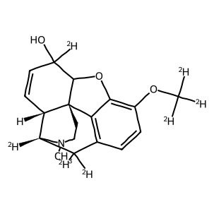 [2H]C([2H])([2H])Oc1ccc2c3c1OC1C([2H])(O)C=C[C@@H]4[C@@]31CCN(C)[C@]4([2H])C2([2H])[2H]